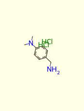 CN(C)c1ccc(CN)cc1.Cl.Cl